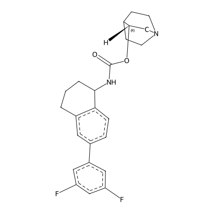 O=C(NC1CCCc2cc(-c3cc(F)cc(F)c3)ccc21)O[C@H]1CN2CCC1CC2